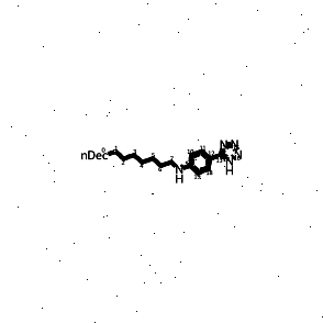 CCCCCCCCCCCCCCCCCNc1ccc(-c2nnn[nH]2)cc1